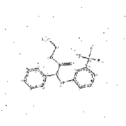 CCOC(=O)C(Oc1cccc(C(F)(F)F)c1)c1ccccc1